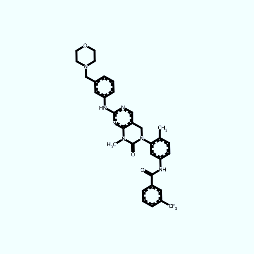 Cc1ccc(NC(=O)c2cccc(C(F)(F)F)c2)cc1N1Cc2cnc(Nc3cccc(CN4CCOCC4)c3)nc2N(C)C1=O